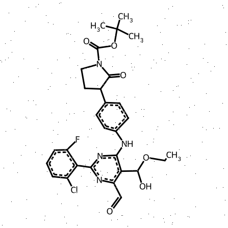 CCOC(O)c1c(C=O)nc(-c2c(F)cccc2Cl)nc1Nc1ccc(C2CCN(C(=O)OC(C)(C)C)C2=O)cc1